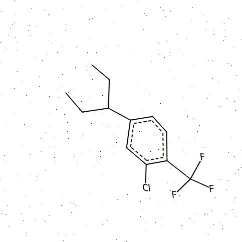 CCC(CC)c1ccc(C(F)(F)F)c(Cl)c1